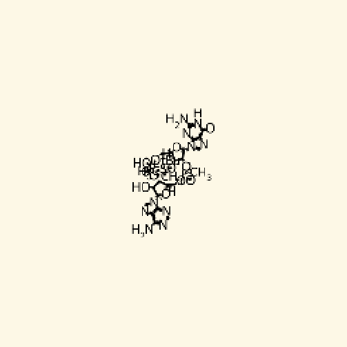 CC(C)(C)[Si](C)(C)OC1C2OP(C)(=O)OC[C@H]3O[C@@H](n4cnc5c(N)ncnc54)C(O)C3OP(=O)(O)OC[C@H]1O[C@H]2n1cnc2c(=O)[nH]c(N)nc21